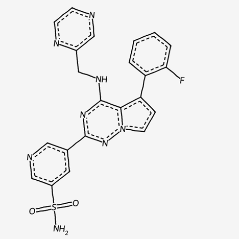 NS(=O)(=O)c1cncc(-c2nc(NCc3cnccn3)c3c(-c4ccccc4F)ccn3n2)c1